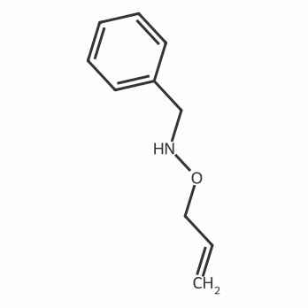 C=CCONCc1ccccc1